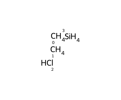 C.C.Cl.[SiH4]